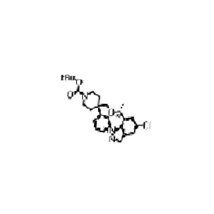 C[C@@H](OCC1(c2ccccc2)CCN(C(=O)OC(C)(C)C)CC1)c1cc(Cl)cc2cn[nH]c12